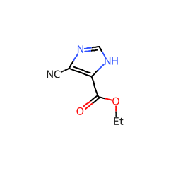 CCOC(=O)c1[nH]cnc1C#N